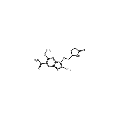 COc1nc2c(OCC3CCC(=O)N3)c(C)sc2cc1C(N)=O